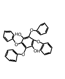 Oc1c(Oc2ccccc2)c(Oc2ccccc2)c(O)c(Oc2ccccc2)c1Oc1ccccc1